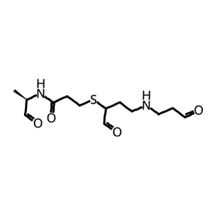 C[C@H](C=O)NC(=O)CCSC(C=O)CCNCCC=O